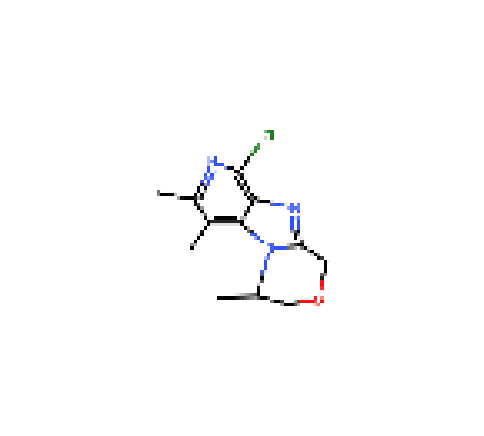 Cc1nc(Cl)c2nc3n(c2c1C)C(C)COC3